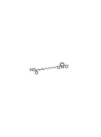 O=C(O)C=CC=CCCCCCCCOc1cccc(Cl)n1